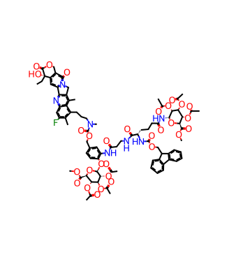 CC[C@@]1(O)C(=O)OCc2c1cc1n(c2=O)Cc2c-1nc1cc(F)c(C)c(CCCN(C)C(=O)OCc3ccc(O[C@@H]4O[C@H](C(=O)OC)[C@@H](OC(C)=O)[C@H](OC(C)=O)[C@H]4OC(C)=O)c(NC(=O)CCNC(=O)[C@H](CCCC(=O)N[C@H]4O[C@H](C(=O)OC)[C@@H](OC(C)=O)[C@H](OC(C)=O)[C@H]4OC(C)=O)NC(=O)OCC4c5ccccc5-c5ccccc54)c3)c1c2C